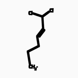 [CH2]CCC=CC(Cl)Cl